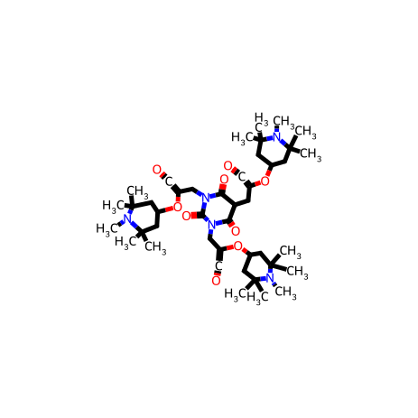 CN1C(C)(C)CC(OC(=C=O)CC2C(=O)N(CC(=C=O)OC3CC(C)(C)N(C)C(C)(C)C3)C(=O)N(CC(=C=O)OC3CC(C)(C)N(C)C(C)(C)C3)C2=O)CC1(C)C